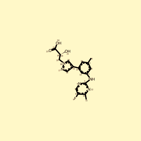 Cc1cc(Nc2ncc(F)c(C)n2)cc(-c2cnn(C[C@@H](O)C(=O)O)c2)c1